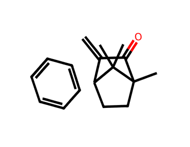 C=C1C(=O)C2(C)CCC1C2(C)C.c1ccccc1